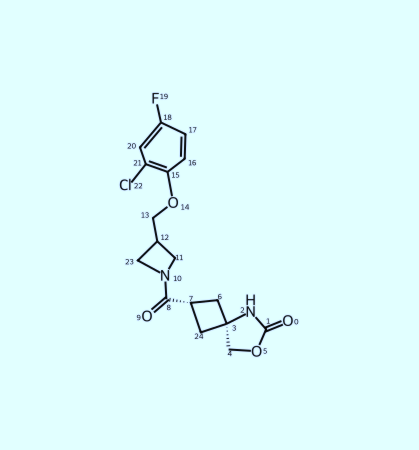 O=C1N[C@]2(CO1)C[C@@H](C(=O)N1CC(COc3ccc(F)cc3Cl)C1)C2